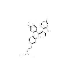 CN(C)CCc1cccc(N/C(=C2\C(=O)Nc3cc(F)ccc32)c2ccc(CC(=O)O)cc2)c1